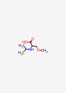 COCC(NC(C)C)C(=O)O